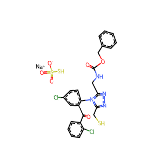 O=C(NCc1nnc(CS)n1-c1ccc(Cl)cc1C(=O)c1ccccc1Cl)OCc1ccccc1.O=S(=O)([O-])S.[Na+]